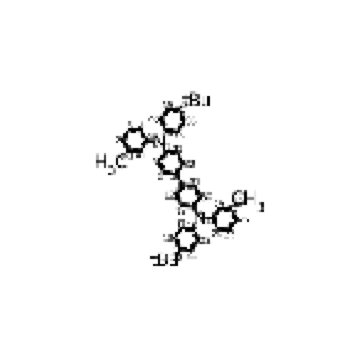 Cc1cccc(N(c2ccc(-c3ccc(N(c4ccc(C(C)(C)C)cc4)c4cccc(C)c4)cc3)cc2)c2ccc(C(C)(C)C)cc2)c1